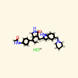 CC(=O)Nc1ccc(-c2ccc(-c3cc4cc(CN5CCCCC5)ccc4[nH]3)c3c2CNC3=O)cc1.Cl